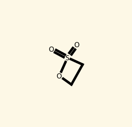 O=S1(=O)CCO1